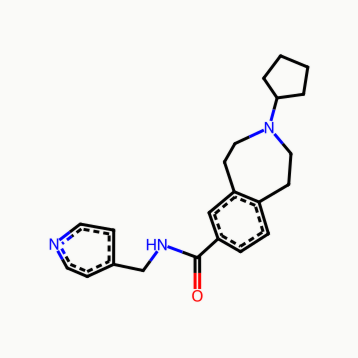 O=C(NCc1ccncc1)c1ccc2c(c1)CCN(C1CCCC1)CC2